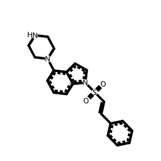 O=S(=O)(C=Cc1ccccc1)n1ccc2c(N3CCNCC3)cccc21